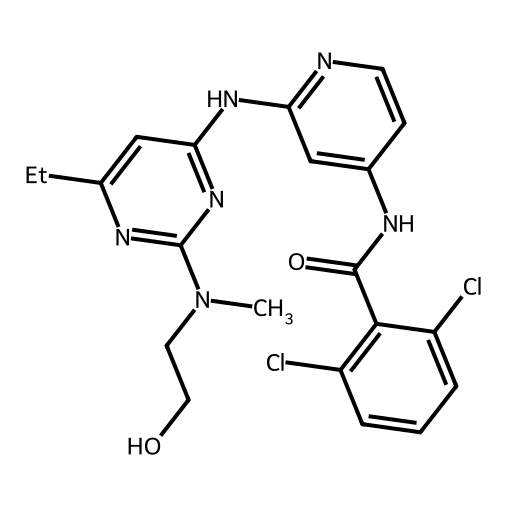 CCc1cc(Nc2cc(NC(=O)c3c(Cl)cccc3Cl)ccn2)nc(N(C)CCO)n1